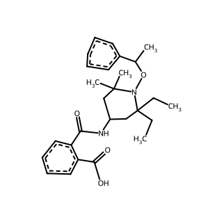 CCC1(CC)CC(NC(=O)c2ccccc2C(=O)O)CC(C)(C)N1OC(C)c1ccccc1